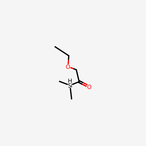 CCOCC(=O)[SiH](C)C